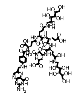 CNC(=O)[C@@H](CCC(=O)O)NC(=O)[C@H](CCC(O)NC[C@H](O)[C@@H](O)[C@H](O)[C@H](O)CO)NC(=O)[C@@H](CCC(=O)O)NC(=O)[C@H](CCC(=O)NC[C@H](O)[C@@H](O)[C@H](O)[C@H](O)CO)NC(=O)CC[C@@H](NC(=O)c1ccc(NCc2cnc3nc(N)[nH]c(=O)c3n2)cc1)C(=O)O